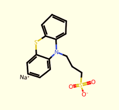 O=S(=O)([O-])CCCN1c2ccccc2Sc2ccccc21.[Na+]